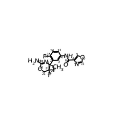 C[C@]1(c2cc(NC(=O)c3cocn3)ccc2F)N=C(N)OCC1(F)F